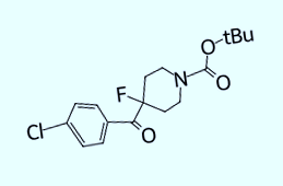 CC(C)(C)OC(=O)N1CCC(F)(C(=O)c2ccc(Cl)cc2)CC1